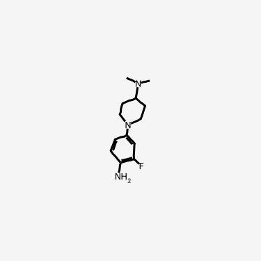 CN(C)C1CCN(c2ccc(N)c(F)c2)CC1